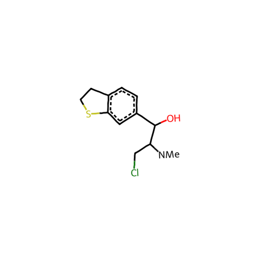 CNC(CCl)C(O)c1ccc2c(c1)SCC2